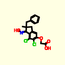 CC1(Cc2ccccc2)Cc2cc(OCC(=O)O)c(Cl)c(Cl)c2C1=NO